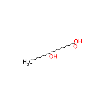 CCC=CCC=CCC(O)CCCCCCCCCC(=O)O